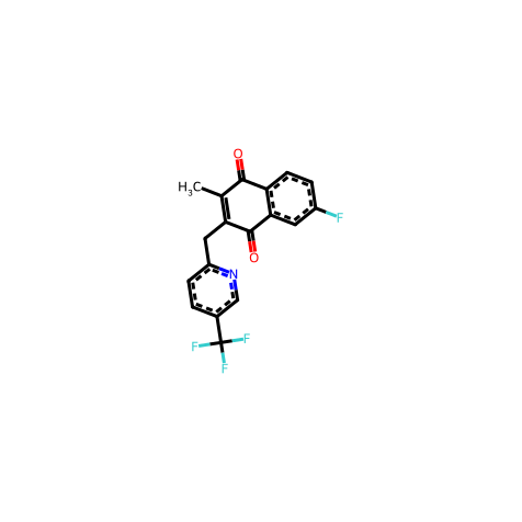 CC1=C(Cc2ccc(C(F)(F)F)cn2)C(=O)c2cc(F)ccc2C1=O